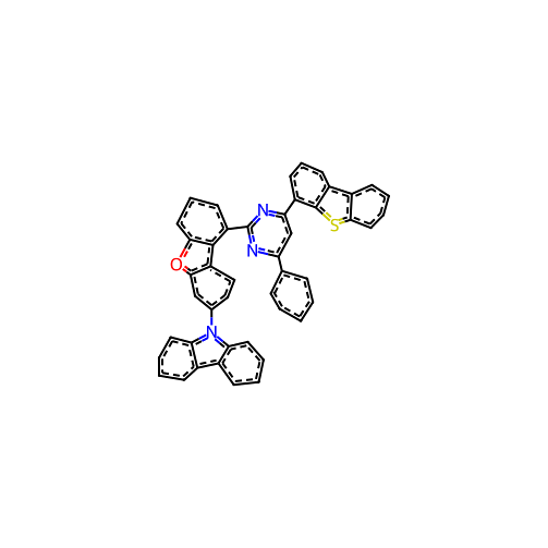 c1ccc(-c2cc(-c3cccc4c3sc3ccccc34)nc(-c3cccc4oc5cc(-n6c7ccccc7c7ccccc76)ccc5c34)n2)cc1